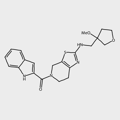 COC1(CNc2nc3c(s2)CN(C(=O)c2cc4ccccc4[nH]2)CC3)CCOC1